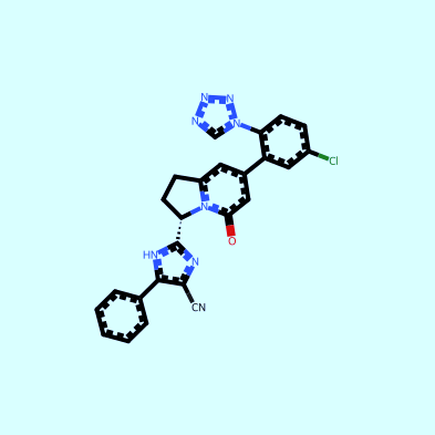 N#Cc1nc([C@@H]2CCc3cc(-c4cc(Cl)ccc4-n4cnnn4)cc(=O)n32)[nH]c1-c1ccccc1